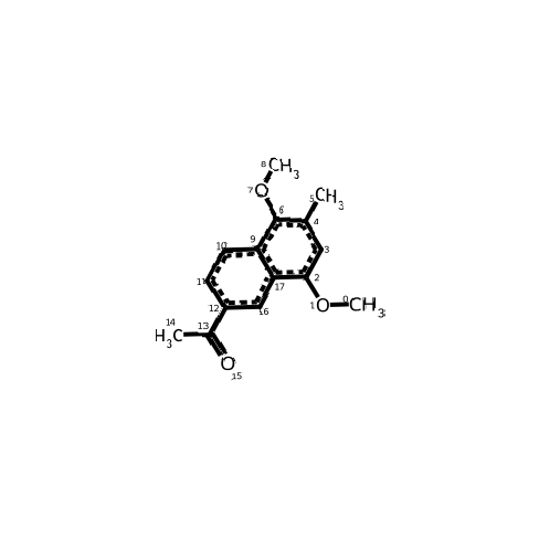 COc1cc(C)c(OC)c2ccc(C(C)=O)cc12